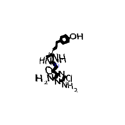 Nc1nc(N)c(C(=O)/C=C2\NC[C@H](CCCc3ccc(O)cc3)N2)nc1Cl